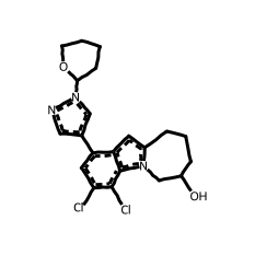 OC1CCCc2cc3c(-c4cnn(C5CCCCO5)c4)cc(Cl)c(Cl)c3n2C1